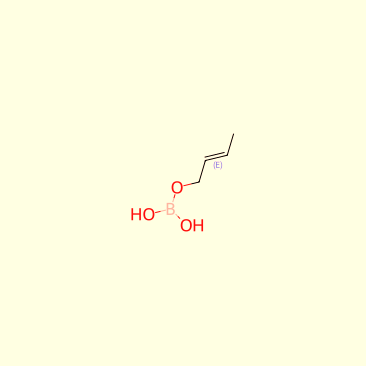 C/C=C/COB(O)O